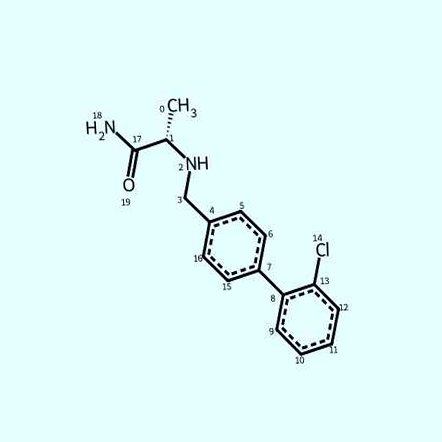 C[C@H](NCc1ccc(-c2ccccc2Cl)cc1)C(N)=O